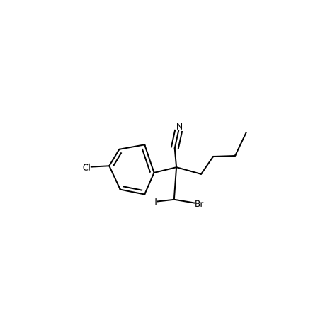 CCCCC(C#N)(c1ccc(Cl)cc1)C(Br)I